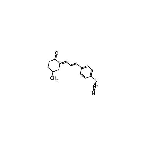 CC1CCC(=O)C(=CC=Cc2ccc(N=[N+]=[N-])cc2)C1